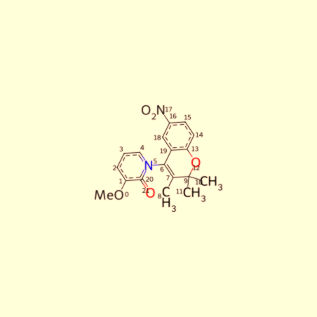 COc1cccn(C2=C(C)C(C)(C)Oc3ccc([N+](=O)[O-])cc32)c1=O